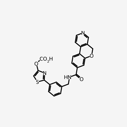 O=C(O)Oc1csc(-c2cccc(CNC(=O)c3ccc4c(c3)OCc3cnccc3-4)c2)n1